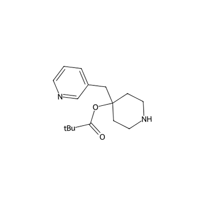 CC(C)(C)C(=O)OC1(Cc2cccnc2)CCNCC1